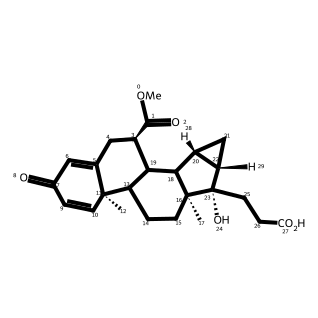 COC(=O)[C@@H]1CC2=CC(=O)C=C[C@]2(C)C2CC[C@@]3(C)C(C21)[C@@H]1C[C@@H]1[C@@]3(O)CCC(=O)O